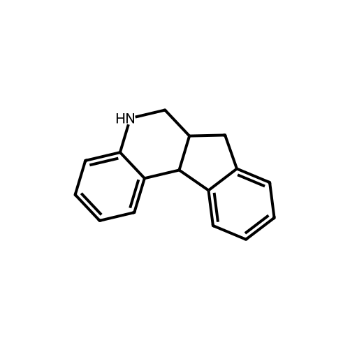 c1ccc2c(c1)CC1CNc3ccccc3C21